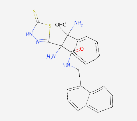 NC(C=O)(c1ccccc1)C(N)(C(=O)NCc1cccc2ccccc12)c1n[nH]c(=S)s1